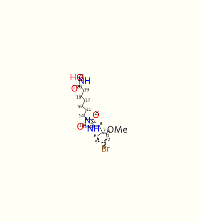 COc1cc(Br)ccc1C=C1NC(=O)N(CCCCCCC(=O)NO)C1=O